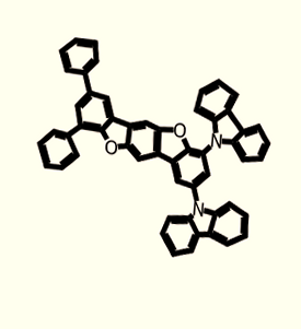 c1ccc(-c2cc(-c3ccccc3)c3oc4cc5c(cc4c3c2)oc2c(-n3c4ccccc4c4ccccc43)cc(-n3c4ccccc4c4ccccc43)cc25)cc1